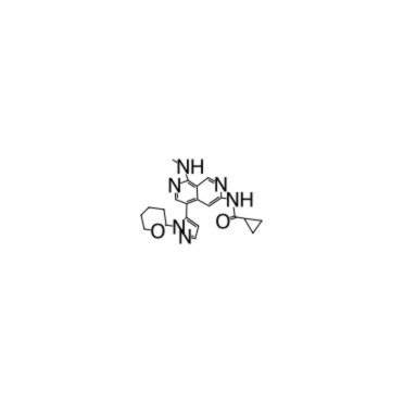 CNc1ncc(-c2ccnn2C2CCCCO2)c2cc(NC(=O)C3CC3)ncc12